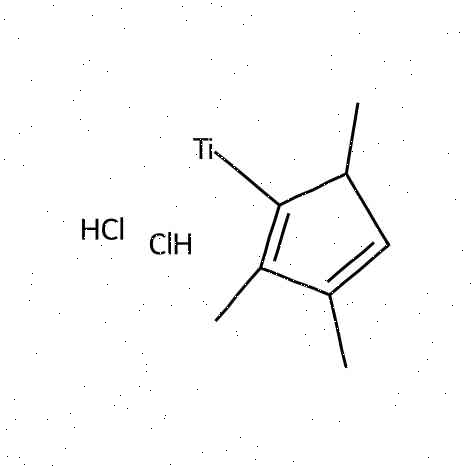 CC1=CC(C)[C]([Ti])=C1C.Cl.Cl